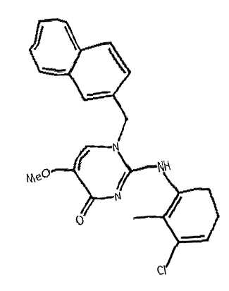 COc1cn(Cc2ccc3ccccc3c2)c(NC2=C(C)C(Cl)=CCC2)nc1=O